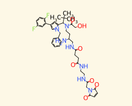 CC(C)(C)C(c1cc(-c2cc(F)ccc2F)cn1Cc1ccccc1)N(CCC(N)CNC(=O)CCC(=O)NCCNC(=O)CN1C(=O)C=CC1=O)C(=O)CO